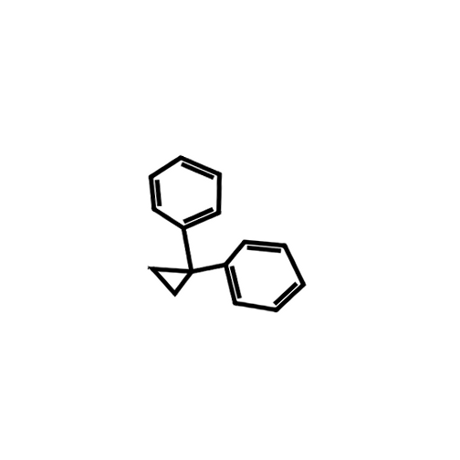 [CH]1CC1(c1ccccc1)c1ccccc1